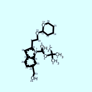 CC(C)(C)OC(=O)n1c(CCOC2CCCCO2)cc2ccc(CO)cc21